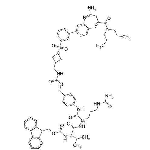 CCCN(CCC)C(=O)C1=Cc2ccc(-c3cccc(S(=O)(=O)N4CC(CNC(=O)OCc5ccc(NC(=O)[C@H](CCCNC(N)=O)NC(=O)[C@@H](NC(=O)OCC6c7ccccc7-c7ccccc76)C(C)C)cc5)C4)c3)cc2N=C(N)C1